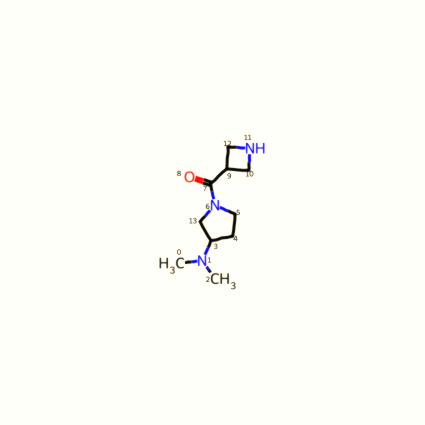 CN(C)C1CCN(C(=O)C2CNC2)C1